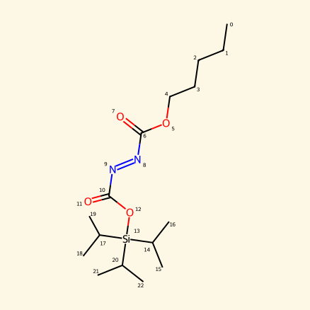 CCCCCOC(=O)N=NC(=O)O[Si](C(C)C)(C(C)C)C(C)C